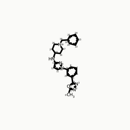 Cc1nnc(-c2cccc(-n3ccc(NC4CCN(Cc5ccccc5)CC4)n3)c2)o1